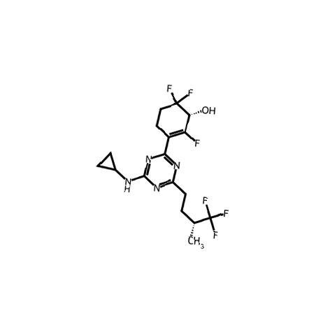 C[C@H](CCc1nc(NC2CC2)nc(C2=C(F)[C@@H](O)C(F)(F)CC2)n1)C(F)(F)F